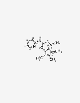 Cc1nn([C@H](C)CC(=O)Nc2ccccn2)c(C)c1C